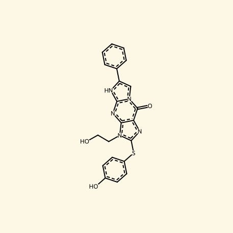 O=c1c2nc(Sc3ccc(O)cc3)n(CCO)c2nc2[nH]c(-c3ccccc3)cn12